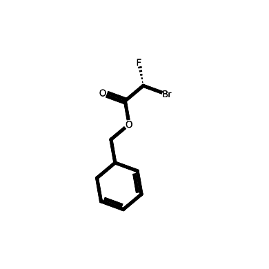 O=C(OCC1C=CC=CC1)[C@H](F)Br